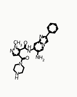 Cn1ncc(C(=O)N2CCNCC2)c1C(=O)Nc1cc2nc(-c3ccccc3)cn2cc1N